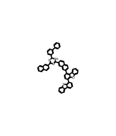 c1ccc(-c2cccc(C3N=C(c4ccc5ccccc5c4)N=C(c4ccc5ccc(-c6ccc(-c7cccc8c7sc7ccccc78)c7oc8ccccc8c67)cc5c4)N3)c2)cc1